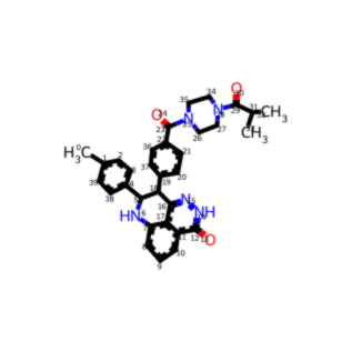 Cc1ccc(C2Nc3cccc4c(=O)[nH]nc(c34)C2c2ccc(C(=O)N3CCN(C(=O)C(C)C)CC3)cc2)cc1